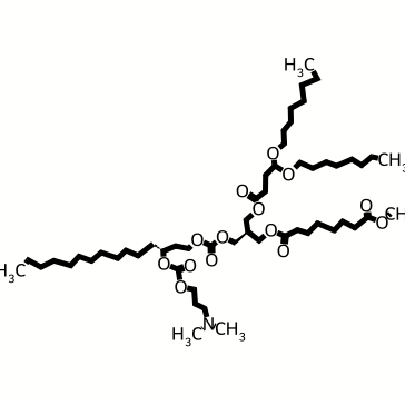 CCCCCCCCCCCC[C@H](CCOC(=O)OC[C@H](COC(=O)CCCCCCC(=O)OC)COC(=O)CCC(OCCCCCCCC)OCCCCCCCC)OC(=O)OCCCN(C)C